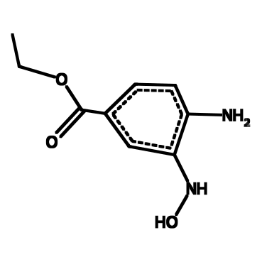 CCOC(=O)c1ccc(N)c(NO)c1